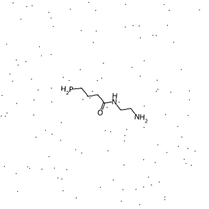 NCCNC(=O)CCCP